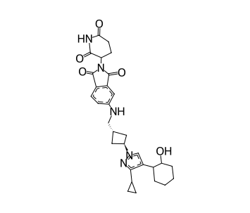 O=C1CCC(N2C(=O)c3ccc(NC[C@H]4C[C@H](n5cc(C6CCCCC6O)c(C6CC6)n5)C4)cc3C2=O)C(=O)N1